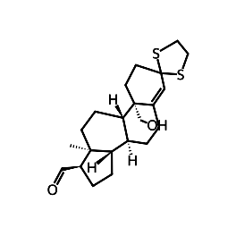 C[C@]12CC[C@H]3[C@@H](CCC4=CC5(CC[C@@]43CO)SCCS5)[C@@H]1CC[C@H]2C=O